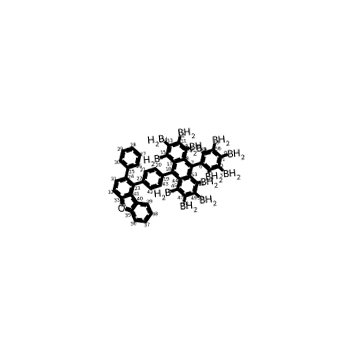 Bc1c(B)c(B)c(-c2c3c(B)c(B)c(B)c(B)c3c(-c3ccc(-c4c(-c5ccccc5)ccc5oc6ccccc6c45)cc3)c3c(B)c(B)c(B)c(B)c23)c(B)c1B